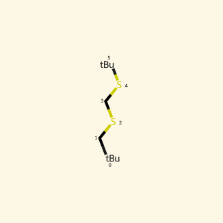 CC(C)(C)CSCSC(C)(C)C